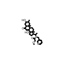 COCC(=O)N(Cc1cccnc1)C(C)C1CC[C@@]2(O)C3=CC(=O)C4C[C@@H](O)C(C)CC4(C)C3CCC12C